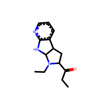 CCC(=O)C1CC2c3cccnc3NC2N1CC